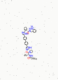 COC(=O)N[C@H](C(=O)N1CCC[C@H]1c1ncc(-c2ccc(-c3ccc(-c4cnc(C5C6CCC(C6)[C@@H]5C(=O)NCc5ccccc5N)[nH]4)cc3)cc2)[nH]1)C(C)C